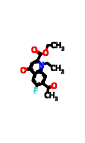 CCOC(=O)c1cc(=O)c2cc(F)c(C(C)=O)cc2n1CC